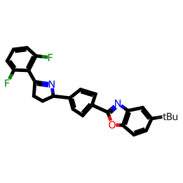 CC(C)(C)c1ccc2oc(-c3ccc(C4CCC(c5c(F)cccc5F)=N4)cc3)nc2c1